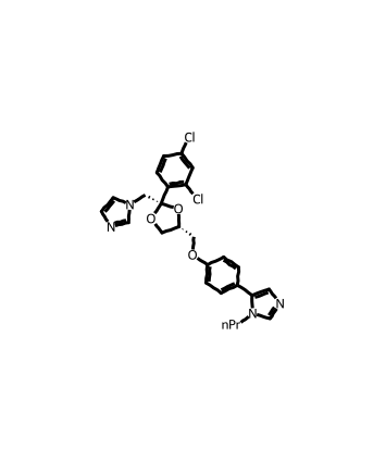 CCCn1cncc1-c1ccc(OC[C@@H]2CO[C@@](Cn3ccnc3)(c3ccc(Cl)cc3Cl)O2)cc1